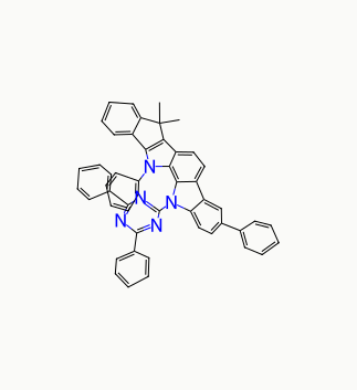 CC1(C)c2ccccc2-c2c1c1ccc3c4cc(-c5ccccc5)ccc4n(-c4nc(-c5ccccc5)nc(-c5ccccc5)n4)c3c1n2-c1ccccc1